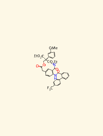 CCOC(=O)C(COC(=O)Cc1ccc(NC(=O)c2ccccc2-c2ccc(C(F)(F)F)cc2)c(C(=O)N(C)C)c1)(C(=O)OCC)c1cccc(OC)c1